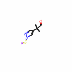 CC(C)(C=O)c1cnn(SI)c1